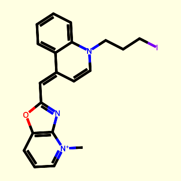 C[n+]1cccc2oc(/C=C3\C=CN(CCCI)c4ccccc43)nc21